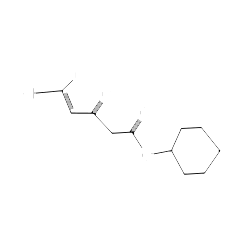 O=C(C=C(Cl)Cl)CC(=O)OC1CCCCC1